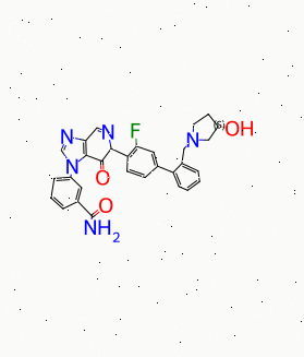 NC(=O)c1cccc(-n2cnc3c2C(=O)C(c2ccc(-c4ccccc4CN4CC[C@H](O)C4)cc2F)N=C3)c1